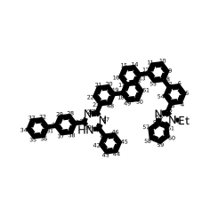 CCn1c(-c2cccc(-c3cccc(-c4cccc5c(-c6cccc(C7=NC(c8ccc(-c9ccccc9)cc8)NC(c8ccccc8)=N7)c6)cccc45)c3)c2)nc2ccccc21